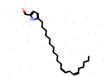 CCCCC/C=C\C/C=C\CCCCCCCCCCCc1ccc(C=O)[nH]1